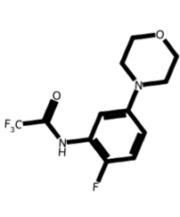 O=C(Nc1cc(N2CCOCC2)ccc1F)C(F)(F)F